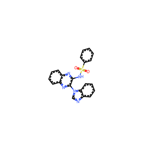 O=S(=O)(Nc1nc2ccccc2nc1-n1cnc2ccccc21)c1ccccc1